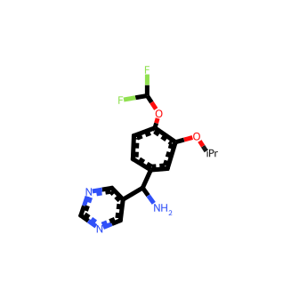 CC(C)Oc1cc(C(N)c2cncnc2)ccc1OC(F)F